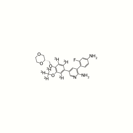 [2H]c1c([2H])c(-c2cnc(N)c(-c3ccc(N)cc3F)c2)c([2H])c(OC([2H])([2H])[2H])c1OC[C@H]1COCCO1